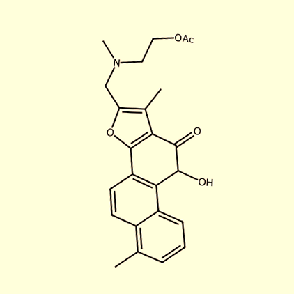 CC(=O)OCCN(C)Cc1oc2c(c1C)C(=O)C(O)c1c-2ccc2c(C)cccc12